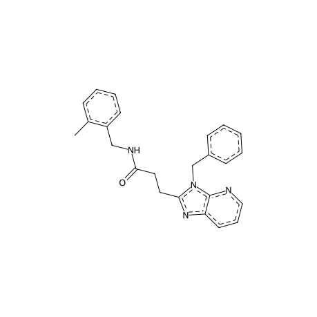 Cc1ccccc1CNC(=O)CCc1nc2cccnc2n1Cc1ccccc1